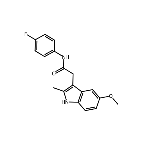 COc1ccc2[nH]c(C)c(CC(=O)Nc3ccc(F)cc3)c2c1